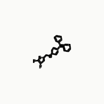 Fc1cc(COc2ccc([SH](c3ccccc3)c3ccccc3)cc2)sc1F